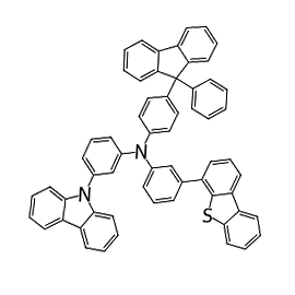 c1ccc(C2(c3ccc(N(c4cccc(-c5cccc6c5sc5ccccc56)c4)c4cccc(-n5c6ccccc6c6ccccc65)c4)cc3)c3ccccc3-c3ccccc32)cc1